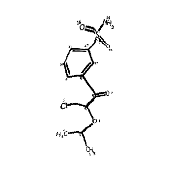 CC(C)OC(Cl)C(=O)c1cccc(S(N)(=O)=O)c1